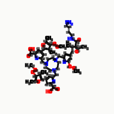 COOc1cc(-c2oc(C)c(C(=O)NCCCCN)c2C)cc(CN2CCN(Cc3cc(-c4oc(C)c(OOC)c4C)cc(C(=O)O)n3)CCN(Cc3cc(-c4oc(C)c(OOC)c4C)cc(C(=O)O)n3)CC2)n1